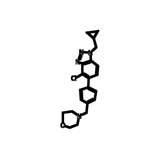 Clc1c(-c2ccc(CN3CCOCC3)cc2)ccc2c1nnn2CC1CC1